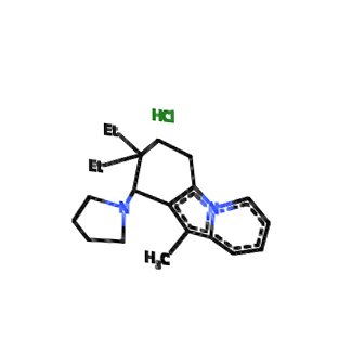 CCC1(CC)CCc2c(c(C)c3ccccn23)C1N1CCCC1.Cl